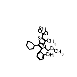 COCn1c(-c2ccccc2O)c(C2CCCCC2)c2sc(C(=O)OC)c(C)c21